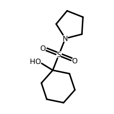 O=S(=O)(N1CCCC1)C1(O)CCCCC1